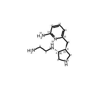 NCCN[C@H]1CNC[C@@H]1Cc1cccc(N)n1